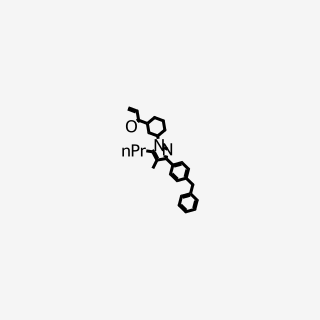 C=CC(=O)C1CCCC(n2nc(-c3ccc(Cc4ccccc4)cc3)c(C)c2CCC)C1